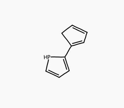 C1=CCC(c2ccc[pH]2)=C1